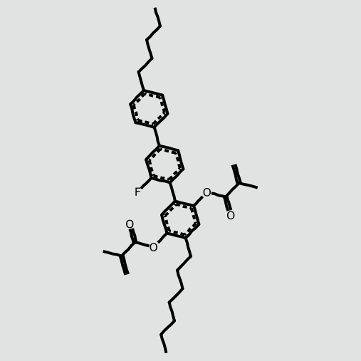 C=C(C)C(=O)Oc1cc(-c2ccc(-c3ccc(CCCCC)cc3)cc2F)c(OC(=O)C(=C)C)cc1CCCCCCC